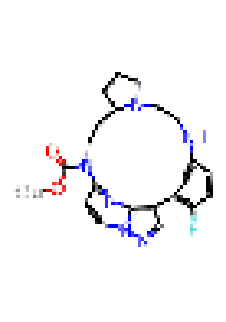 CC(C)(C)OC(=O)N1CCC2CCCN2CCNc2ccc(F)c(c2)-c2cnn3ccc1nc23